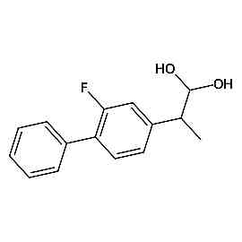 CC(c1ccc(-c2ccccc2)c(F)c1)C(O)O